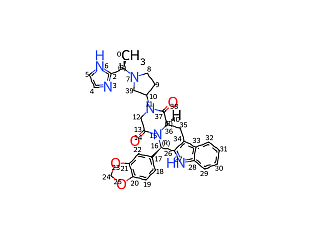 C[C@H](c1ncc[nH]1)N1CCC(N2CC(=O)N3[C@H](c4ccc5c(c4)OCO5)c4[nH]c5ccccc5c4C[C@@H]3C2=O)C1